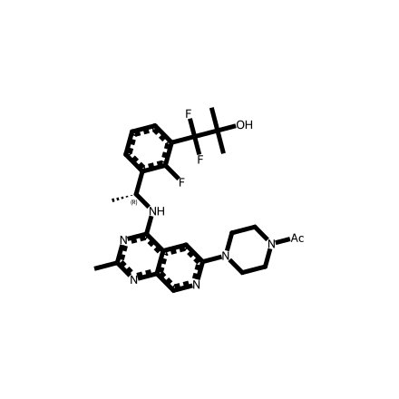 CC(=O)N1CCN(c2cc3c(N[C@H](C)c4cccc(C(F)(F)C(C)(C)O)c4F)nc(C)nc3cn2)CC1